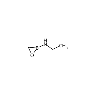 CCNB1CO1